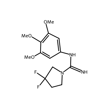 COc1cc(NC(=N)N2CCC(F)(F)C2)cc(OC)c1OC